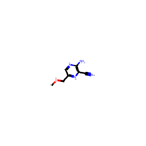 COCc1cnc(N)c(C#N)n1